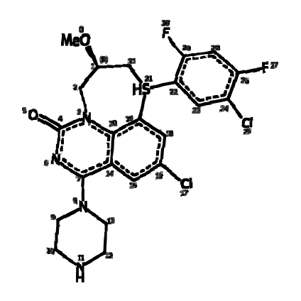 CO[C@@H]1Cn2c(=O)nc(N3CCNCC3)c3cc(Cl)cc(c32)[SH](c2cc(Cl)c(F)cc2F)C1